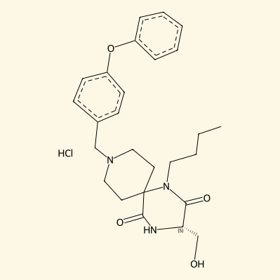 CCCCN1C(=O)[C@H](CO)NC(=O)C12CCN(Cc1ccc(Oc3ccccc3)cc1)CC2.Cl